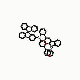 c1ccc(-c2ccc(N(c3ccc4c(c3)C3(c5ccccc5-c5ccccc53)c3ccccc3-4)c3ccccc3-c3ccc4c(c3)c3ccccc3n4-c3ccccc3)cc2)cc1